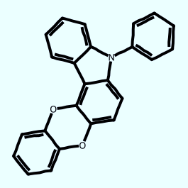 c1ccc(-n2c3ccccc3c3c4c(ccc32)Oc2ccccc2O4)cc1